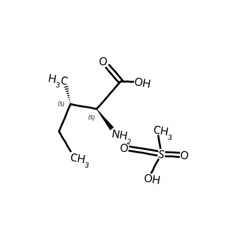 CC[C@H](C)[C@H](N)C(=O)O.CS(=O)(=O)O